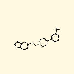 FC(F)(F)c1cccc(C2=CCN(CCc3ccc4[nH]ccc4c3)CC2)c1